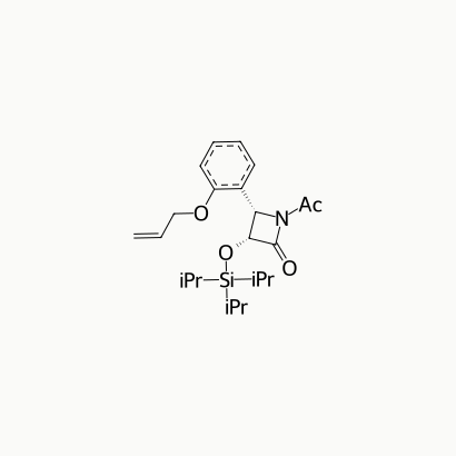 C=CCOc1ccccc1[C@H]1[C@@H](O[Si](C(C)C)(C(C)C)C(C)C)C(=O)N1C(C)=O